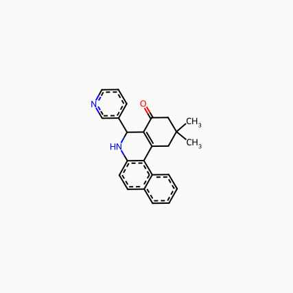 CC1(C)CC(=O)C2=C(C1)c1c(ccc3ccccc13)NC2c1cccnc1